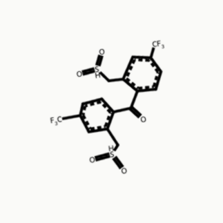 O=C(c1ccc(C(F)(F)F)cc1C[SH](=O)=O)c1ccc(C(F)(F)F)cc1C[SH](=O)=O